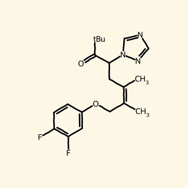 CC(COc1ccc(F)c(F)c1)=C(C)CC(C(=O)C(C)(C)C)n1cncn1